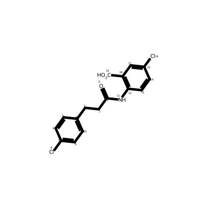 O=C(CCc1ccc(Cl)cc1)Nc1ccc(Cl)cc1C(=O)O